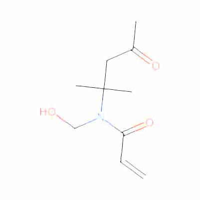 C=CC(=O)N(CO)C(C)(C)CC(C)=O